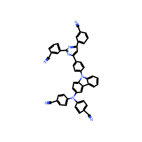 N#Cc1ccc(N(c2ccc(C#N)cc2)c2ccc3c(c2)c2ccccc2n3-c2ccc(-c3cc(-c4cccc(C#N)c4)nc(-c4cccc(C#N)c4)n3)cc2)cc1